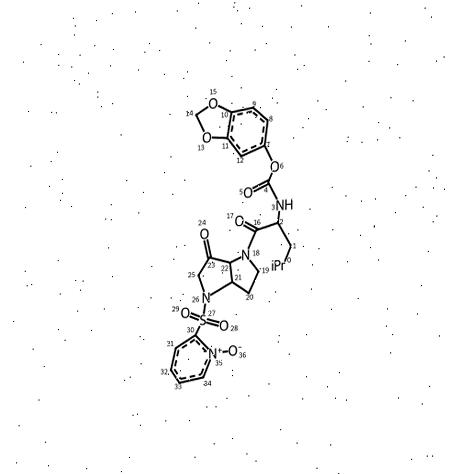 CC(C)CC(NC(=O)Oc1ccc2c(c1)OCO2)C(=O)N1CCC2C1C(=O)CN2S(=O)(=O)c1cccc[n+]1[O-]